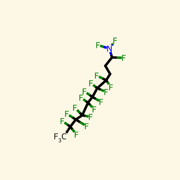 FC(CCC(F)(F)C(F)(F)C(F)(F)C(F)(F)C(F)(F)C(F)(F)C(F)(F)C(F)(F)F)N(F)F